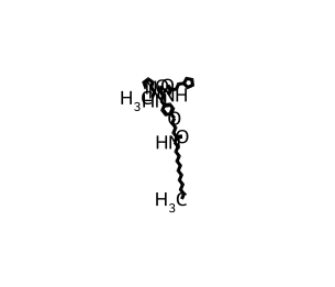 CCCCCCCCCCCCNC(=O)CCCOc1ccc(NC(NC(=O)CCC2CCCC2)C(=O)N(CC)N2CCCC2)cc1